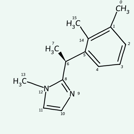 Cc1cccc([C@H](C)c2nccn2C)c1C